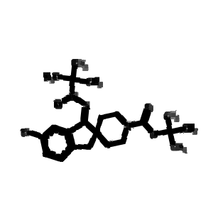 CC(C)(C)OC(=O)N1CCC2(CC1)Cc1ccc(Cl)cc1C2=N[S+]([O-])C(C)(C)C